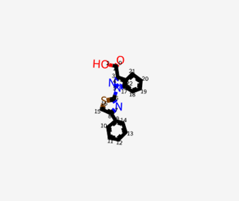 O=C(O)c1nn(-c2nc(-c3ccccc3)cs2)c2ccccc12